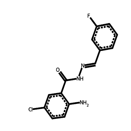 Nc1ccc(Cl)cc1C(=O)NN=Cc1cccc(F)c1